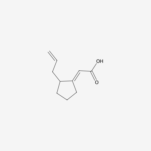 C=CCC1CCCC1=CC(=O)O